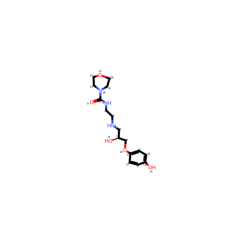 O=C(NCCNC[C@H](O)COc1ccc(O)cc1)N1CCOCC1